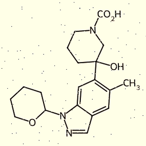 Cc1cc2cnn(C3CCCCO3)c2cc1C1(O)CCCN(C(=O)O)C1